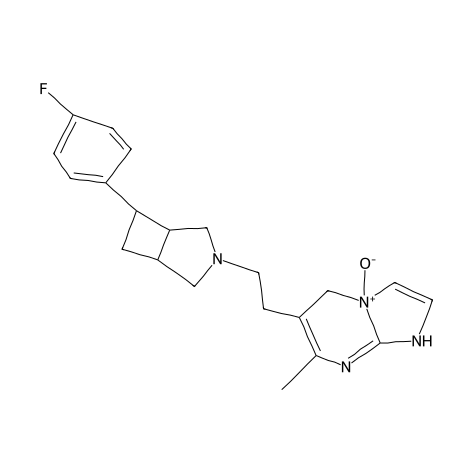 CC1=C(CCN2CC3CC(c4ccc(F)cc4)C3C2)C[N+]2([O-])C=CNC2=N1